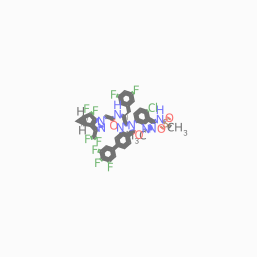 Cn1nc(NS(C)(=O)=O)c2c(Cl)ccc(-n3c([C@H](Cc4cc(F)cc(F)c4)NC(=O)Cn4nc(C(F)F)c5c4C(F)(F)[C@@H]4C[C@H]54)nc4cc(-c5cc(F)c(F)c(F)c5)ccc4c3=O)c21